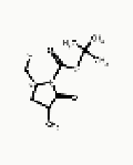 [3H]C[C@@H]1CC(C)C(=O)N1C(=O)OC(C)(C)C